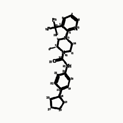 C[C@@H]1CN(c2ncccc2C(F)(F)F)CCN1C(=O)Nc1ccc(C2CCCC2)cc1